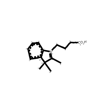 CC1=[N+](CCCC(=O)O)c2ccccc2C1(C)C